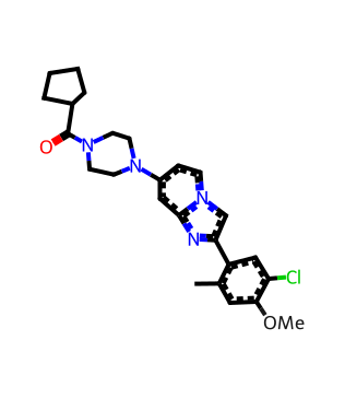 COc1cc(C)c(-c2cn3ccc(N4CCN(C(=O)C5CCCC5)CC4)cc3n2)cc1Cl